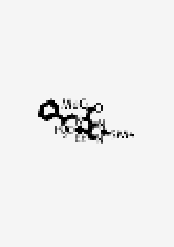 CCC1(C)c2cnc(SC)nc2C(C(=O)OC)N1CC(=O)c1ccccc1